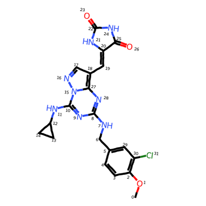 COc1ccc(CNc2nc(NC3CC3)n3ncc(/C=C4\NC(=O)NC4=O)c3n2)cc1Cl